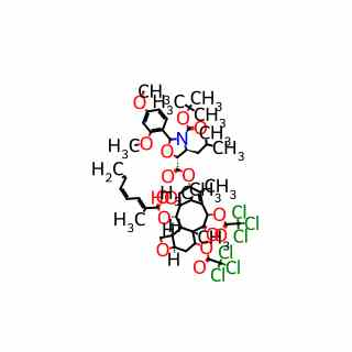 C=C/C=C\C=C(/C)C(=O)O[C@H]1[C@@H]2[C@@H]3CO[C@@H]3C[C@H](OC(=O)C(Cl)(Cl)Cl)[C@@]2(C)C(=O)[C@H](OC(=O)C(Cl)(Cl)Cl)C2=C(C)[C@@H](OC(=O)[C@@H]3OC(c4ccc(OC)cc4OC)N(C(=O)OC(C)(C)C)[C@H]3CC(C)C)C[C@]1(O)C2(C)C